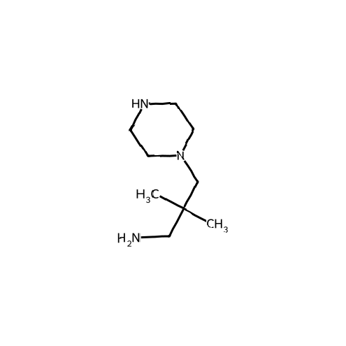 CC(C)(CN)CN1CCNCC1